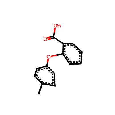 Cc1ccc(Oc2ccccc2C(=O)O)cc1